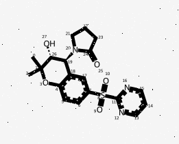 CC1(C)Oc2ccc(S(=O)(=O)c3ncccn3)cc2[C@H](N2CCCC2=O)[C@H]1O